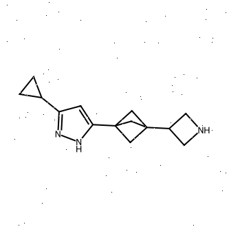 c1c(C2CC2)n[nH]c1C12CC(C3CNC3)(C1)C2